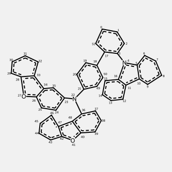 c1ccc(-n2c3ccccc3c3ccccc32)c(-c2ccc(N(c3ccc4oc5ccccc5c4c3)c3cccc4oc5ccccc5c34)cc2)c1